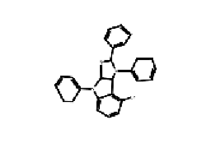 Brc1cccc2c1C1C(NC(c3ccccc3)N1C1=CC=CCC1)N2C1=CC=CCC1